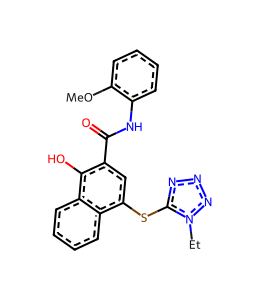 CCn1nnnc1Sc1cc(C(=O)Nc2ccccc2OC)c(O)c2ccccc12